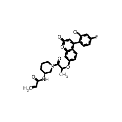 C=CC(=O)N[C@H]1CCCN(C(=O)C(C)Oc2ccc3c(-c4ccc(F)cc4Cl)cc(=O)oc3c2)C1